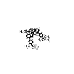 CCC[CH]=[Hf]([CH3])([CH3])([CH3])([CH]1C=Cc2c(-c3ccc(C(C)(C)C)cc3)cccc21)[CH]1C=Cc2c(-c3ccc(C(C)(C)C)cc3)cccc21